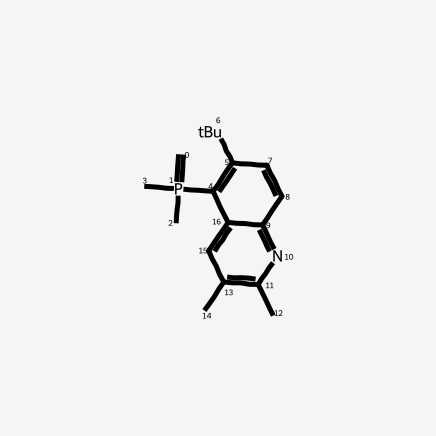 C=P(C)(C)c1c(C(C)(C)C)ccc2nc(C)c(C)cc12